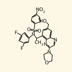 CC(c1cc(CO)cc2ncc(N3CCOCC3)nc12)N(c1cc(F)cc(F)c1)S(=O)(=O)c1ccc([N+](=O)[O-])cc1